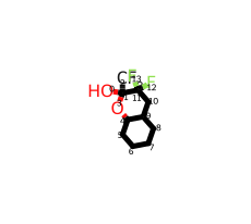 OC1(C(F)(F)F)OC2CCCCC2CC1(F)F